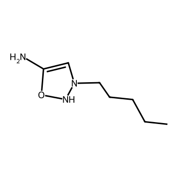 CCCCCN1C=C(N)ON1